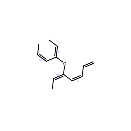 C=C/C=C\C(=C/C)OC(/C=C\C)=C/C